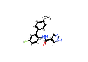 Cc1ccc(-c2cc(F)ccc2NC(=O)c2cn[nH]c2)cc1